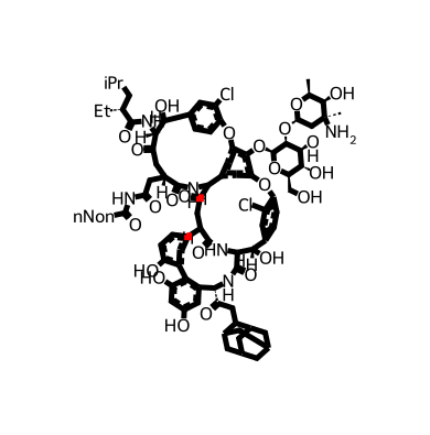 CCCCCCCCCC(=O)NC(=O)C[C@@H]1CC(=O)[C@H](NC(=O)[C@H](CC)CC(C)C)[C@H](O)c2ccc(c(Cl)c2)Oc2cc3cc(c2O[C@@H]2O[C@H](CO)[C@@H](O)[C@H](O)[C@H]2O[C@H]2C[C@](C)(N)[C@H](O)[C@H](C)O2)Oc2ccc(cc2Cl)[C@H](O)[C@H]2NC(=O)[C@H](CC(=O)[C@@H]3NC1=O)c1ccc(O)c(c1)-c1c(O)cc(O)cc1[C@@H](C(=O)CC1C3CC4CC(C3)CC1C4)NC2=O